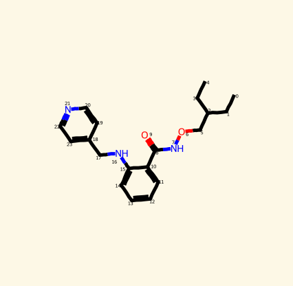 CCC(CC)CONC(=O)c1ccccc1NCc1ccncc1